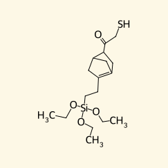 CCO[Si](CCC1=C2CC(C1)C(C(=O)CS)C2)(OCC)OCC